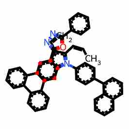 C=Cc1c(/C=C\C)n(-c2ccc(-c3cccc4ccccc34)cc2)c2ccc(-c3ccccc3-c3ccccc3-c3ccc(-c4nnc(-c5ccccc5)o4)cc3)cc12